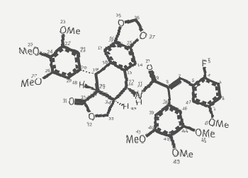 COc1ccc(F)c(/C=C(/C(=O)N[C@@H]2c3cc4c(cc3[C@@H](c3cc(OC)c(OC)c(OC)c3)[C@H]3C(=O)OC[C@@H]32)OCO4)c2cc(OC)c(OC)c(OC)c2)c1